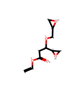 C=COC(=O)CC(OCC1CO1)C1CO1